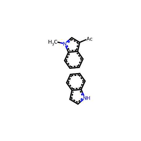 CC(=O)c1cn(C)c2ccccc12.c1ccc2[nH]ccc2c1